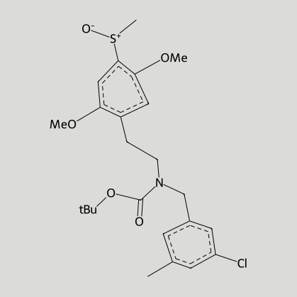 COc1cc([S+](C)[O-])c(OC)cc1CCN(Cc1cc(C)cc(Cl)c1)C(=O)OC(C)(C)C